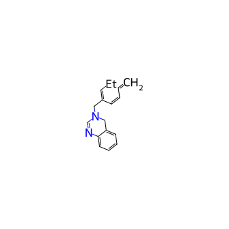 C=C/C=C\C(=C/CC)CN1C=Nc2ccccc2C1